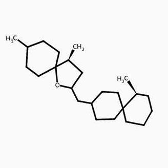 CC1CCC2(CC1)OC(CC1CCC3(CCCC[C@@H]3C)CC1)C[C@@H]2C